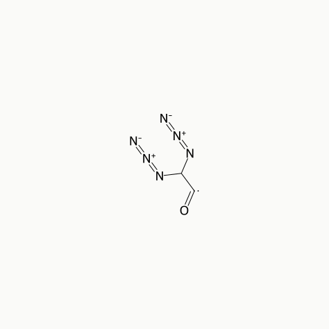 [N-]=[N+]=NC([C]=O)N=[N+]=[N-]